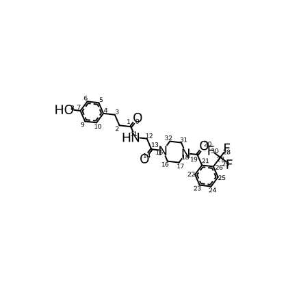 O=C(CCc1ccc(O)cc1)NCC(=O)N1CCN(C(=O)c2ccccc2C(F)(F)F)CC1